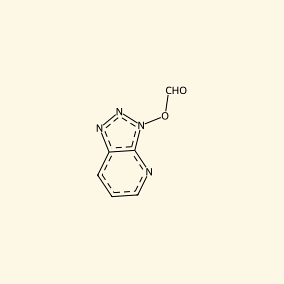 O=COn1nnc2cccnc21